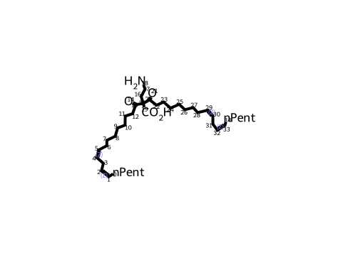 CCCCC/C=C\C/C=C\CCCCCCCC(=O)C(CCN)(C(=O)O)C(=O)CCCCCCC/C=C\C/C=C\CCCCC